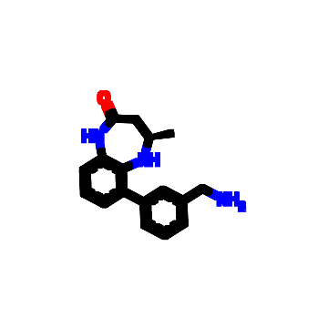 C[C@@H]1CC(=O)Nc2cccc(-c3cccc(CN)c3)c2N1